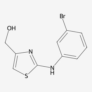 OCc1csc(Nc2cccc(Br)c2)n1